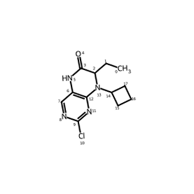 CCC1C(=O)Nc2cnc(Cl)nc2N1C1CCC1